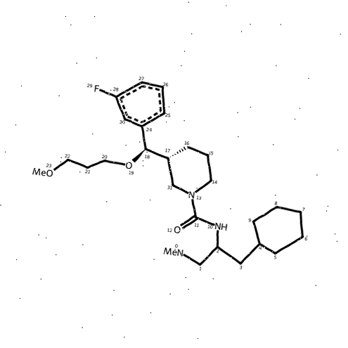 CNCC(CC1CCCCC1)NC(=O)N1CCC[C@@H]([C@@H](OCCCOC)c2cccc(F)c2)C1